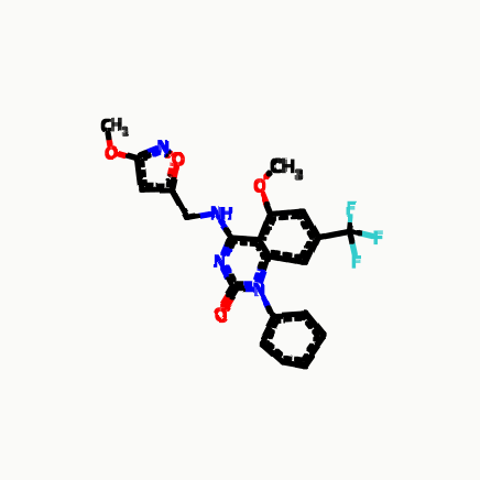 COc1cc(CNc2nc(=O)n(-c3ccccc3)c3cc(C(F)(F)F)cc(OC)c23)on1